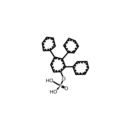 O=P(O)(O)Oc1ccc(-c2ccccc2)c(-c2ccccc2)c1-c1ccccc1